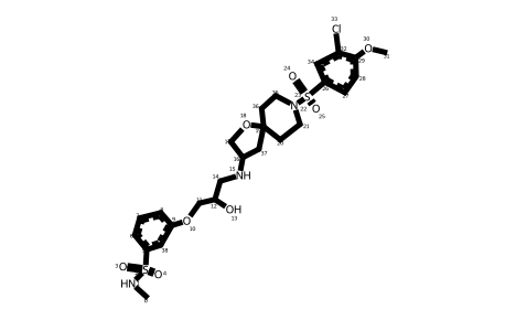 CNS(=O)(=O)c1cccc(OCC(O)CNC2COC3(CCN(S(=O)(=O)c4ccc(OC)c(Cl)c4)CC3)C2)c1